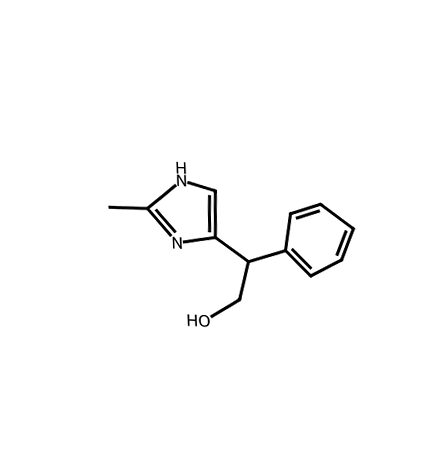 Cc1nc(C(CO)c2ccccc2)c[nH]1